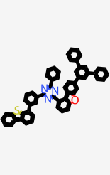 c1ccc(-c2cc(-c3ccccc3)cc(-c3ccc4c(c3)oc3cccc(-c5nc(-c6ccccc6)nc(-c6cccc(-c7cccc8c7sc7ccccc78)c6)n5)c34)c2)cc1